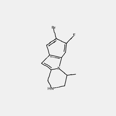 CC1CNCc2cc3cc(Br)c(F)cc3n21